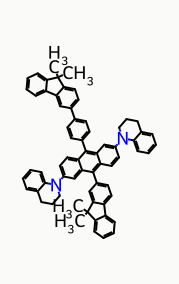 CC1(C)c2ccccc2-c2cc(-c3ccc(-c4c5ccc(N6CCCc7ccccc76)cc5c(-c5ccc6c(c5)C(C)(C)c5ccccc5-6)c5ccc(N6CCCc7ccccc76)cc45)cc3)ccc21